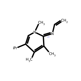 C=C/N=c1/c(C)c(C)c(C(C)C)cn1C